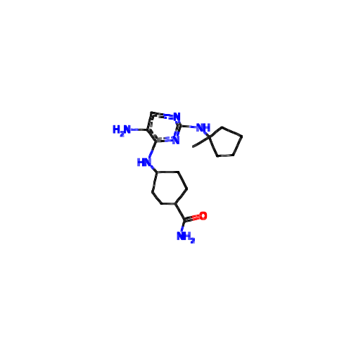 CC1(Nc2ncc(N)c(NC3CCC(C(N)=O)CC3)n2)CCCC1